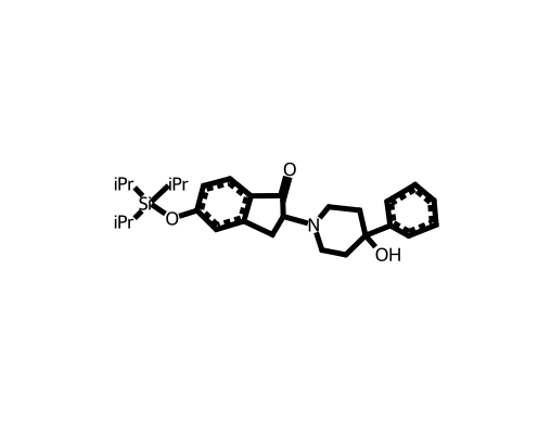 CC(C)[Si](Oc1ccc2c(c1)CC(N1CCC(O)(c3ccccc3)CC1)C2=O)(C(C)C)C(C)C